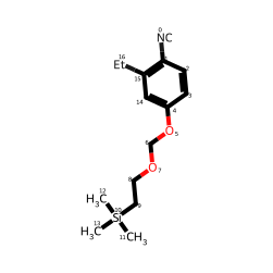 [C-]#[N+]c1ccc(OCOCC[Si](C)(C)C)cc1CC